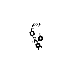 Cc1ccc(N(C(=O)OC[C@H]2CC[C@H](COCC(=O)O)CC2)c2cccc(F)c2)cc1F